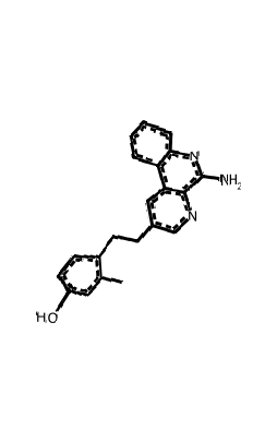 Cc1cc(O)ccc1CCc1cnc2c(N)nc3ccccc3c2c1